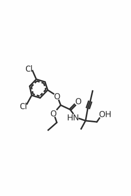 CC#CC(C)(CO)NC(=O)C(OCC)Oc1cc(Cl)cc(Cl)c1